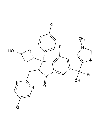 CCC(O)(c1cc(F)c2c(c1)C(=O)N(Cc1ncc(Cl)cn1)[C@@]2(c1ccc(Cl)cc1)[C@H]1C[C@@H](O)C1)c1cn(C)cn1